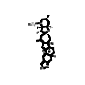 CCOC(=O)N1C[C@@H](C)C[C@H]2O[C@]3(CC[C@@H]4C(=C(C)C3)C[C@H]3[C@H]4CC[C@@H]4Cc5n[nH]cc5C[C@@]43C)[C@H](C)[C@@H]21